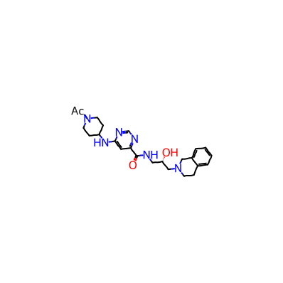 CC(=O)N1CCC(Nc2cc(C(=O)NC[C@H](O)CN3CCc4ccccc4C3)ncn2)CC1